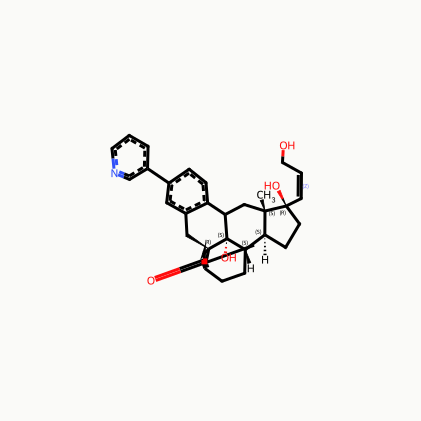 C[C@]12CC3c4ccc(-c5cccnc5)cc4C[C@]45CCC(=O)C=C4CC[C@@H]([C@@H]1CC[C@@]2(O)/C=C\CO)[C@]35O